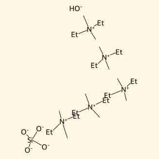 CC[N+](C)(C)CC.CC[N+](C)(C)CC.CC[N+](C)(C)CC.CC[N+](C)(C)CC.CC[N+](C)(C)CC.[O-][Si]([O-])([O-])[O-].[OH-]